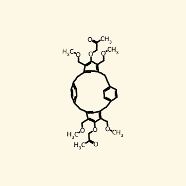 COCc1c2cc(c(COC)c1OCC(C)=O)Cc1ccc(cc1)Cc1cc(c(COC)c(OCC(C)=O)c1COC)Cc1ccc(cc1)C2